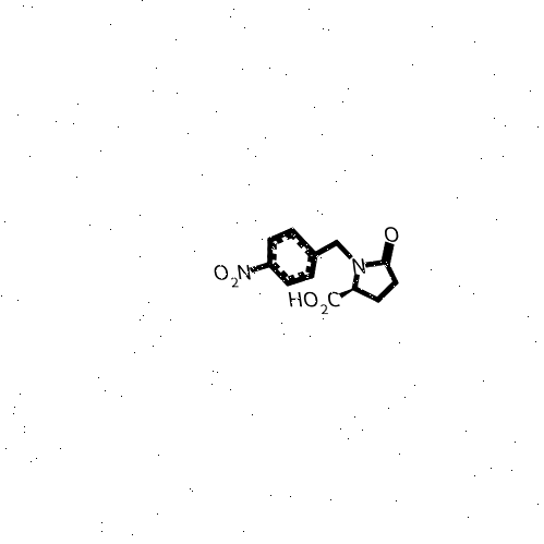 O=C(O)[C@@H]1CCC(=O)N1Cc1ccc([N+](=O)[O-])cc1